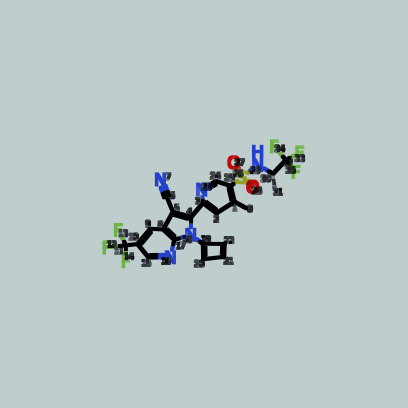 Cc1cc(-c2c(C#N)c3cc(C(F)(F)F)cnc3n2C2=CC=C2)ncc1S(=O)(=O)N[C@@H](C)C(F)(F)F